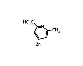 Cc1cccc(C(=O)O)n1.[Zn]